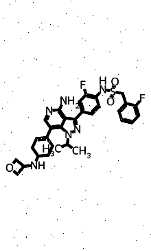 CC(C)n1nc(-c2ccc(NS(=O)(=O)Cc3ccccc3F)c(F)c2)c2c(N)ncc(C3=CCC(NC4COC4)CC3)c21